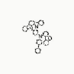 c1ccc(-c2ccc(N(c3ccc4c(c3)n3c5ccccc5c5ccc6c7ccccc7n4c6c53)c3cccc4oc5ccccc5c34)cc2)cc1